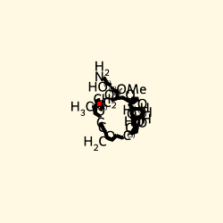 C=C1CC2CC[C@@]34CC5O[C@H]6[C@@H](O3)[C@H]3OC(CC[C@@H]3O[C@H]6[C@H]5O4)CC(=O)CC3C(C[C@H]4OC(CCC1O2)C[C@@H](C)C4=C)O[C@H](C[C@H](O)CN)[C@@H]3OC